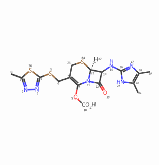 Cc1nnc(SCC2=C(OC(=O)O)N3C(=O)C(Nc4nc(C)c(C)[nH]4)[C@@H]3SC2)s1